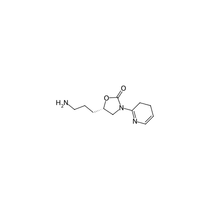 NCCC[C@H]1CN(C2=NC=CCC2)C(=O)O1